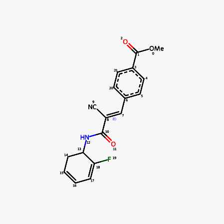 COC(=O)c1ccc(/C=C(\C#N)C(=O)NC2CC=CC=C2F)cc1